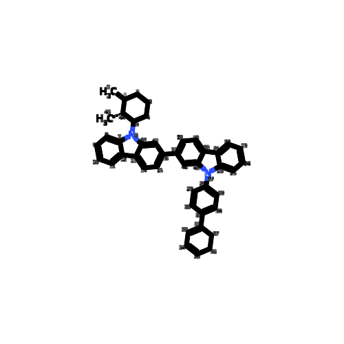 CC1CCCC(n2c3ccccc3c3ccc(-c4ccc5c6ccccc6n(-c6ccc(C7=CC=CCC7)cc6)c5c4)cc32)[C@@H]1C